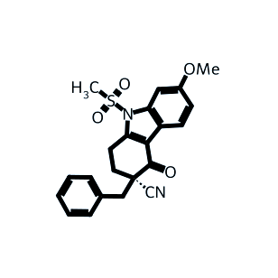 COc1ccc2c3c(n(S(C)(=O)=O)c2c1)CC[C@](C#N)(Cc1ccccc1)C3=O